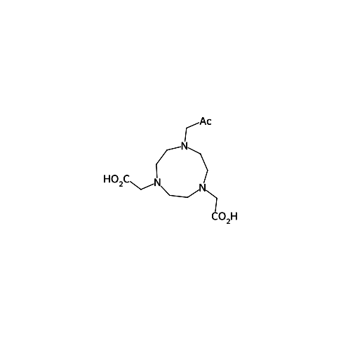 CC(=O)CN1CCN(CC(=O)O)CCN(CC(=O)O)CC1